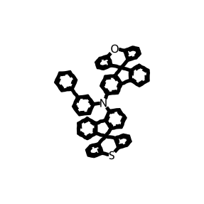 c1ccc(-c2cccc(N(c3ccc4c(c3)-c3ccccc3C43c4ccccc4Oc4ccccc43)c3cccc4c3-c3ccccc3C43c4ccccc4Sc4ccccc43)c2)cc1